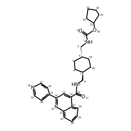 O=C(NC[C@H]1CC[C@H](CNC(=O)c2cc(-c3ccncc3)nc3ccccc23)CC1)OC1CCCC1